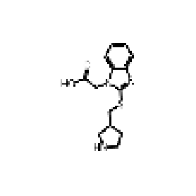 O=C(O)Cn1c(SCC2CCNC2)nc2ccccc21